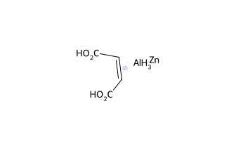 O=C(O)/C=C\C(=O)O.[AlH3].[Zn]